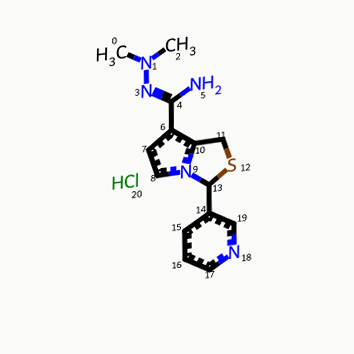 CN(C)N=C(N)c1ccn2c1CSC2c1cccnc1.Cl